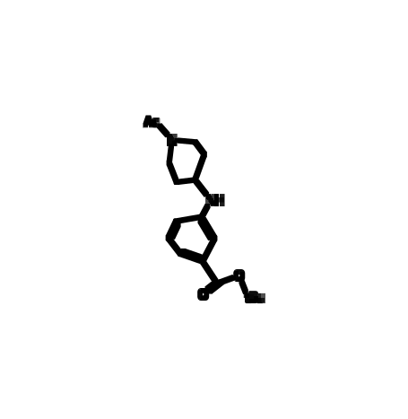 CC(=O)N1CCC(Nc2cccc(C(=O)OC(C)(C)C)c2)CC1